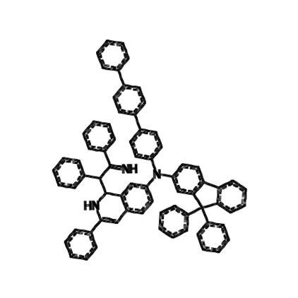 N=C(c1ccccc1)C(c1ccccc1)C1NC(c2ccccc2)=Cc2ccc(N(c3ccc(-c4ccc(-c5ccccc5)cc4)cc3)c3ccc4c(c3)C(c3ccccc3)(c3ccccc3)c3ccccc3-4)cc21